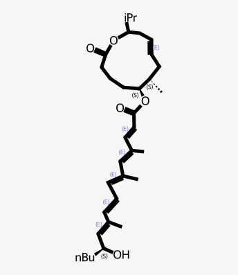 CCCC[C@H](O)/C=C(C)/C=C/C=C(C)/C=C(C)/C=C/C(=O)O[C@H]1CCCC(=O)OC(C(C)C)C/C=C/C[C@@H]1C